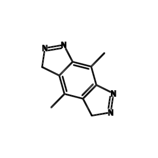 Cc1c2c(c(C)c3c1CN=N3)N=NC2